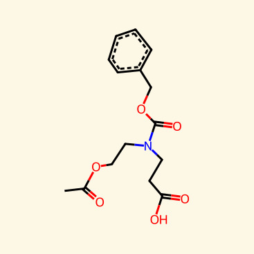 CC(=O)OCCN(CCC(=O)O)C(=O)OCc1ccccc1